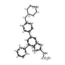 CCOC(=O)Nc1nc2cc(-c3cnc(CN4CCNCC4)nc3)cc(-c3ncccn3)c2[nH]1